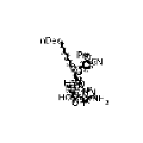 CCCCCCCCCCCCCCCCCCOC[C@H](COP(=O)(O)OC[C@@]1(/C=N\C)O[C@@H](c2ccc3c(N)ncnn23)[C@H](O)[C@@H]1O)OCc1ccc(C#N)c(OC(C)C)c1